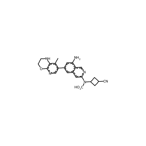 Cc1c(-c2cc(N)c3cnc(N(C(=O)O)C4CC(C#N)C4)cc3c2)cnc2c1NCCO2